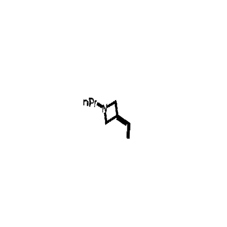 CC=C1CN(CCC)C1